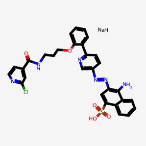 Nc1c(/N=N/c2ccc(-c3ccccc3OCCCNC(=O)c3ccnc(Cl)c3)nc2)cc(S(=O)(=O)O)c2ccccc12.[NaH]